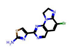 Nc1nc(-c2ncc3c(n2)N2CCN=C2C(Br)=C3)cs1